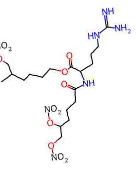 CC(CCCCOC(=O)C(CCCNC(=N)N)NC(=O)CCCC(CO[N+](=O)[O-])O[N+](=O)[O-])CO[N+](=O)[O-]